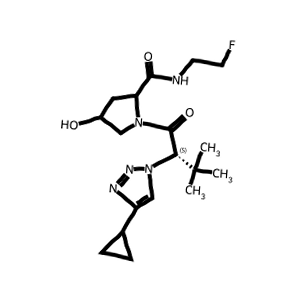 CC(C)(C)[C@@H](C(=O)N1CC(O)CC1C(=O)NCCF)n1cc(C2CC2)nn1